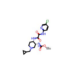 CC(C)(C)OC(=O)N[C@@H]1CN(CC2CC2)CC[C@@H]1NC(=O)C(=O)Nc1ccc(Cl)cn1